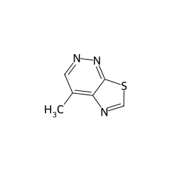 Cc1cnnc2scnc12